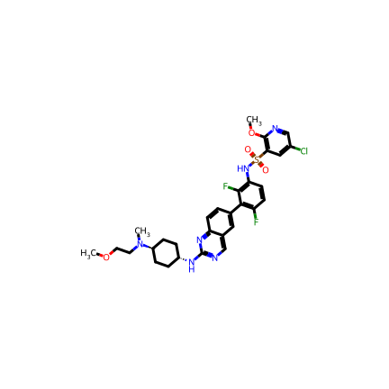 COCCN(C)[C@H]1CC[C@H](Nc2ncc3cc(-c4c(F)ccc(NS(=O)(=O)c5cc(Cl)cnc5OC)c4F)ccc3n2)CC1